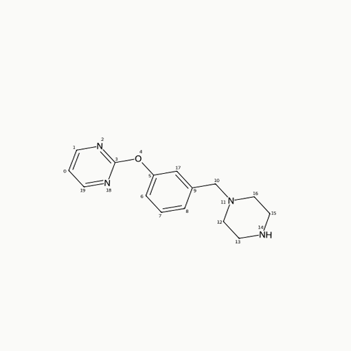 c1cnc(Oc2cccc(CN3CCNCC3)c2)nc1